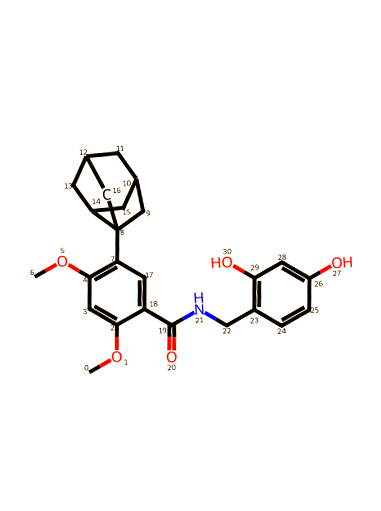 COc1cc(OC)c(C23CC4CC(CC2C4)C3)cc1C(=O)NCc1ccc(O)cc1O